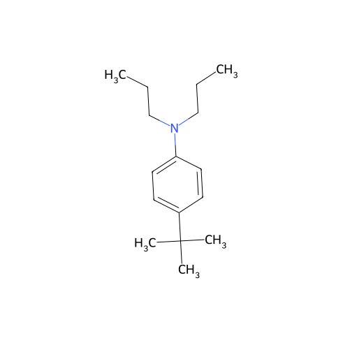 CCCN(CCC)c1ccc(C(C)(C)C)cc1